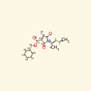 C=C/C=C(\C)N1C(=O)C(I)=C(C(=O)OCc2ccccc2)C1=O